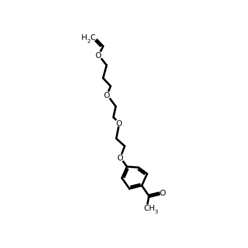 C=COCCCOCCOCCOc1ccc(C(C)=O)cc1